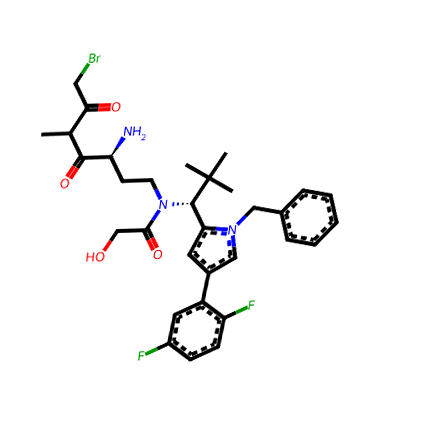 CC(C(=O)CBr)C(=O)[C@@H](N)CCN(C(=O)CO)[C@@H](c1cc(-c2cc(F)ccc2F)cn1Cc1ccccc1)C(C)(C)C